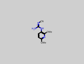 COc1ccc(N/C(N)=N\C#N)c(OC)n1